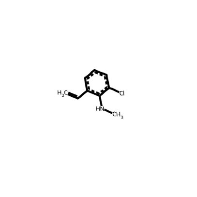 C=Cc1cccc(Cl)c1NC